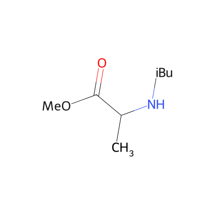 CCC(C)NC(C)C(=O)OC